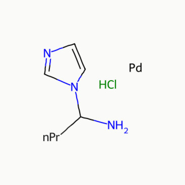 CCCC(N)n1ccnc1.Cl.[Pd]